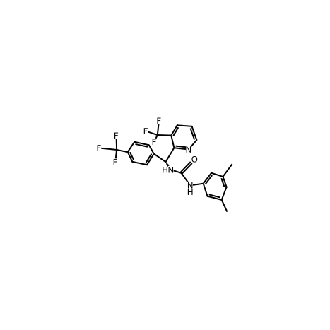 Cc1cc(C)cc(NC(=O)N[C@@H](c2ccc(C(F)(F)F)cc2)c2ncccc2C(F)(F)F)c1